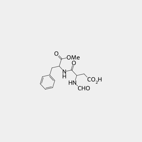 COC(=O)C(Cc1ccccc1)NC(=O)C(CC(=O)O)NC=O